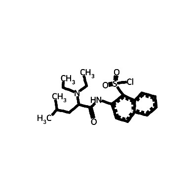 CCN(CC)C(CC(C)C)C(=O)Nc1ccc2ccccc2c1S(=O)(=O)Cl